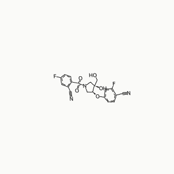 N#Cc1ccc(O[C@H]2CN(S(=O)(=O)c3ccc(F)cc3C#N)C[C@]2(O)CO)cc1F